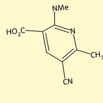 CNc1nc(C)c(C#N)cc1C(=O)O